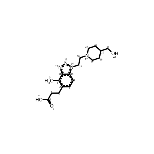 Cc1c(CCC(=O)O)ccc2c1nnn2CCN1CCC(CO)CC1